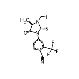 C=C1C(=O)N(c2ccc(C#N)c(C(F)(F)F)c2)C(=S)N1CI